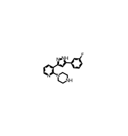 Fc1cccc(-c2cc(-c3cccnc3N3CCNCC3)n[nH]2)c1